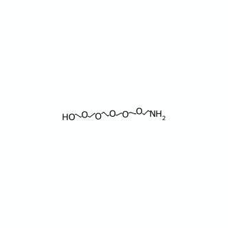 NCCOCCOCCOCCOCCOCCO